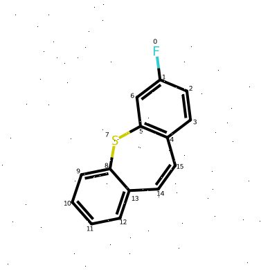 Fc1ccc2c(c1)Sc1ccccc1C=C2